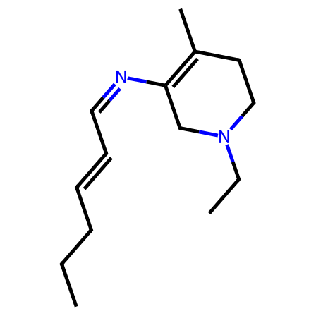 CCC/C=C/C=N\C1=C(C)CCN(CC)C1